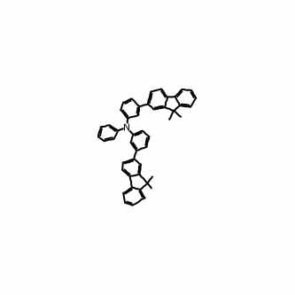 CC1(C)c2ccccc2-c2ccc(-c3cccc(N(c4ccccc4)c4cccc(-c5ccc6c(c5)C(C)(C)c5ccccc5-6)c4)c3)cc21